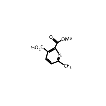 COC(=O)c1nc(C(F)(F)F)ccc1C(=O)O